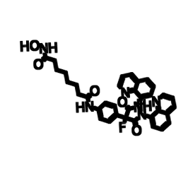 O=C(CCCCCCC(=O)Nc1ccc(C(F)(C(=O)Nc2cccc3cccnc23)C(=O)Nc2cccc3cccnc23)cc1)NO